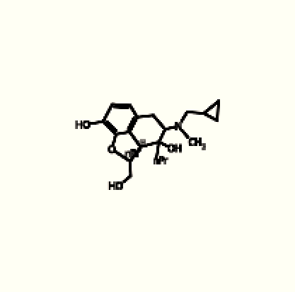 CCCC1(O)C(N(C)CC2CC2)Cc2ccc(O)c3c2[C@]1(CCC)C(CO)O3